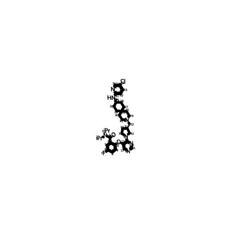 CC(C)N(C(=O)c1cc(F)ccc1Oc1cncnc1N1CC[C@@H](CN2CCC3(CCC(Nc4ccc(Cl)cn4)CC3)CC2)C1)C(C)C